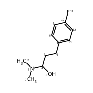 CN(C)C(O)CCc1ccc(F)cc1